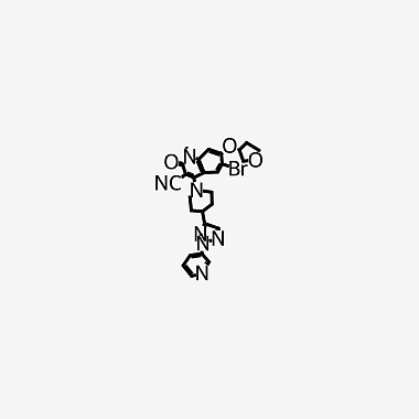 Cn1c(=O)c(C#N)c(N2CCC(c3cnn(-c4cccnc4)n3)CC2)c2cc(Br)c(O[C@@H]3CCOC3)cc21